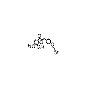 CN(C)CCCOc1ccc(C=C2Oc3c(ccc(O)c3O)C2=O)cc1